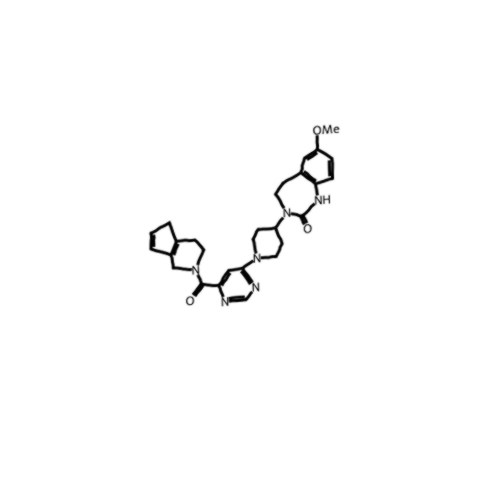 COc1ccc2c(c1)CCN(C1CCN(c3cc(C(=O)N4CCC5=C(C=CC5)C4)ncn3)CC1)C(=O)N2